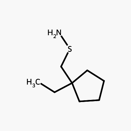 CCC1(CSN)CCCC1